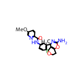 COc1ccc(C(=O)Nc2ccc(F)c([C@@]3(C)N=C(N)OC4=C3COCC4)c2)nc1